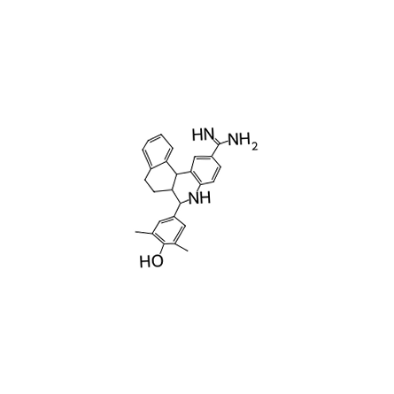 Cc1cc(C2Nc3ccc(C(=N)N)cc3C3c4ccccc4CCC23)cc(C)c1O